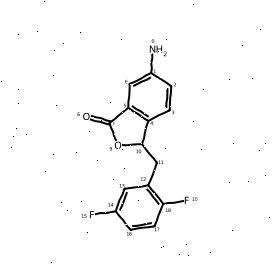 Nc1ccc2c(c1)C(=O)OC2Cc1cc(F)ccc1F